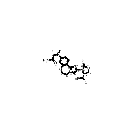 C[C@@H](C(N)=O)N(C)c1ccc2c(c1)OCCn1cc(N3C(=O)OC[C@H]3C(F)F)nc1-2